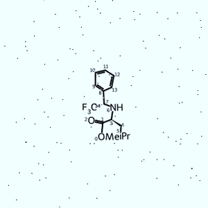 COC(=O)[C@H](CC(C)C)N[C@@H](c1ccccc1)C(F)(F)F